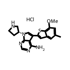 COc1cc(C)cc2cc(-c3cn([C@@H]4CCNC4)c4ncnc(N)c34)sc12.Cl